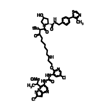 COC(C)c1c(NC(=O)Nc2cc(Cl)cnc2OCCNCCCCCCC(=O)C(C(=O)N2C[C@@H](O)C[C@@H]2C(=O)NCc2ccc(-c3scnc3C)cc2)C(C)(C)C)cnc2cc(Cl)nn12